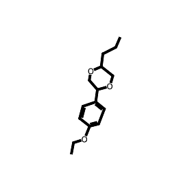 CCCC1COC(c2ccc(OCC)cc2)CO1